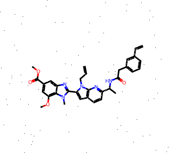 C=CCn1c(-c2nc3cc(C(=O)OC)cc(OC)c3n2C)cc2ccc(C(C)NC(=O)Cc3cccc(C=C)c3)nc21